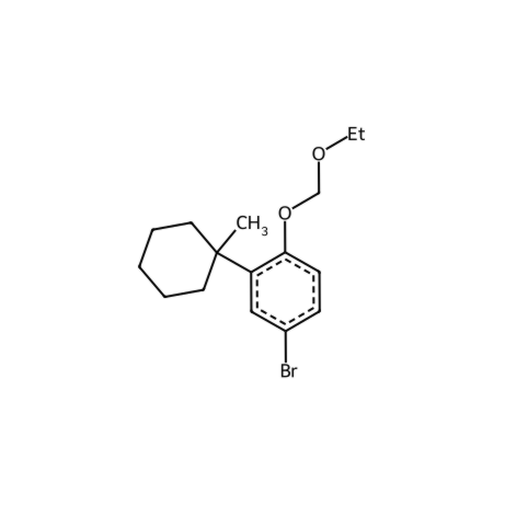 CCOCOc1ccc(Br)cc1C1(C)CCCCC1